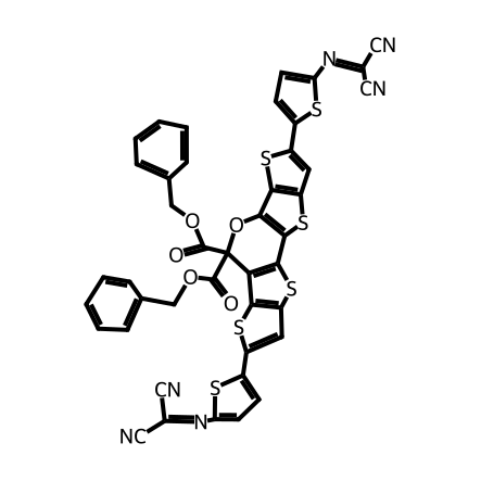 N#CC(C#N)=Nc1ccc(-c2cc3sc4c(c3s2)OC(C(=O)OCc2ccccc2)(C(=O)OCc2ccccc2)c2c-4sc3cc(-c4ccc(N=C(C#N)C#N)s4)sc23)s1